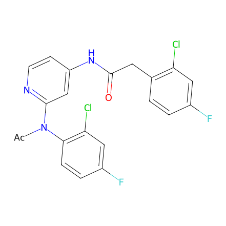 CC(=O)N(c1cc(NC(=O)Cc2ccc(F)cc2Cl)ccn1)c1ccc(F)cc1Cl